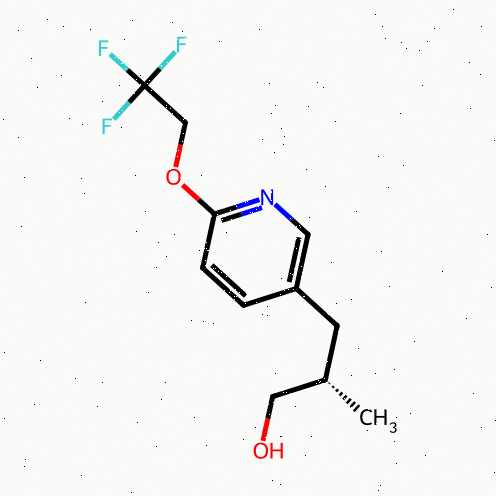 C[C@H](CO)Cc1ccc(OCC(F)(F)F)nc1